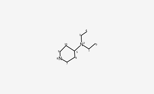 CCN(CC)C1CC[N]CC1